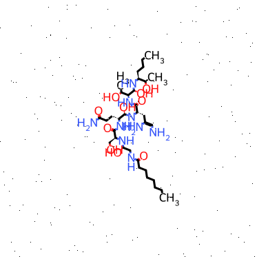 CCCCCCCC(=O)NC[C@H](O)N[C@@H](CO)C(=O)N[C@H](CCC(N)=O)[C@H](O)N[C@@H](C/C(N)=C/N)C(=O)N[C@@H](C(C)O)[C@H](O)N[C@@H](CCCC)[C@@H](C)O